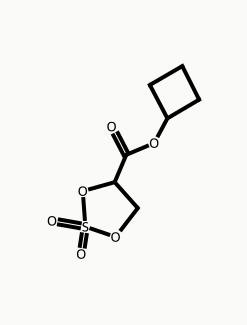 O=C(OC1CCC1)C1COS(=O)(=O)O1